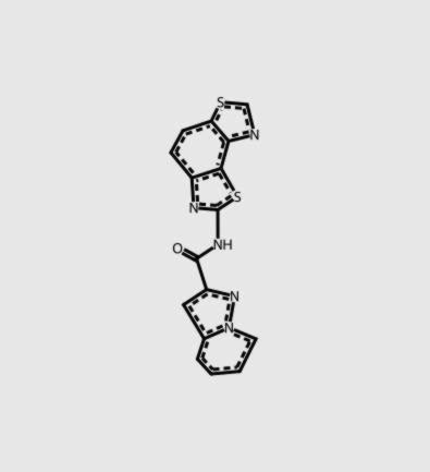 O=C(Nc1nc2ccc3scnc3c2s1)c1cc2ccccn2n1